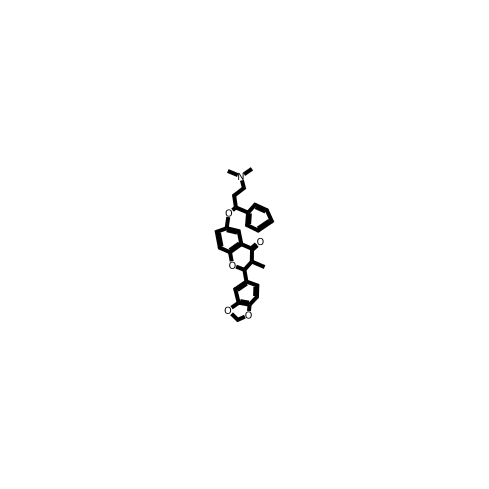 CC1C(=O)c2cc(OC(CCN(C)C)c3ccccc3)ccc2OC1c1ccc2c(c1)OCO2